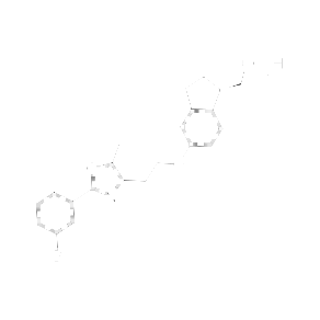 Cc1oc(-c2cccc(Br)c2)nc1CCOc1ccc2c(c1)CC[C@H]2CC(=O)O